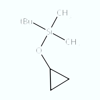 CC(C)(C)[Si](C)(C)OC1CC1